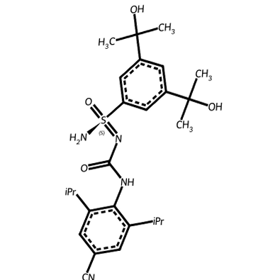 CC(C)c1cc(C#N)cc(C(C)C)c1NC(=O)N=[S@](N)(=O)c1cc(C(C)(C)O)cc(C(C)(C)O)c1